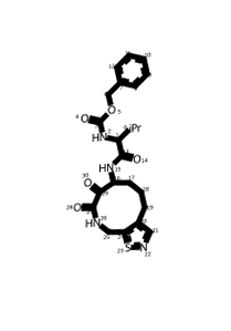 CC(C)C(NC(=O)OCc1ccccc1)C(=O)NC1CCCc2cnsc2CNC(=O)C1=O